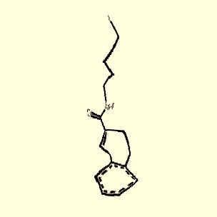 O=C(NCCCCI)C1=Cc2ccccc2CC1